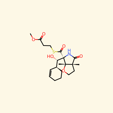 COC(=O)CCSC(=O)[C@]1([C@@H](O)[C@@H]2C=CCCC2)NC(=O)[C@]2(C)CCO[C@@]21C